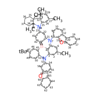 Cc1cc2c3c(c1)N(c1cccc4c1oc1ccccc14)c1cc(N4c5cc(C)cc(C)c5C5(C)CCCCC45C)ccc1B3c1cc(C(C)(C)C)ccc1N2c1ccc2c(c1)oc1ccccc12